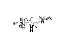 CCCS(=O)(=O)Nc1c(F)ccc(C(=O)c2n[nH]c3ncc(-c4cnc(SC)nc4)cc23)c1F